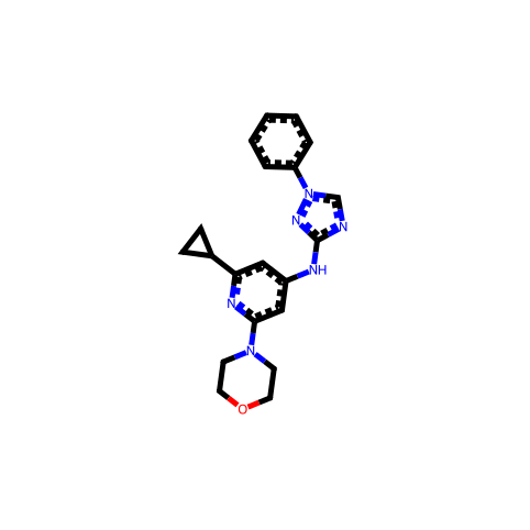 c1ccc(-n2cnc(Nc3cc(C4CC4)nc(N4CCOCC4)c3)n2)cc1